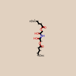 CCCCCCCCCCCCCC(=O)OCC(O)NC(O)COC(=O)CCCCCCCCCCCCC